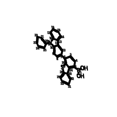 OB(O)c1ccc(-c2ccc3c(c2)c2ccccc2n3-c2ccccc2)c2sc3ccccc3c12